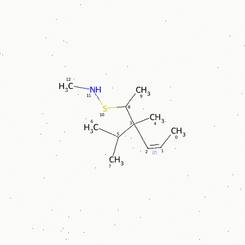 C/C=C\C(C)(C(C)C)C(C)SNC